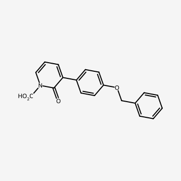 O=C(O)n1cccc(-c2ccc(OCc3ccccc3)cc2)c1=O